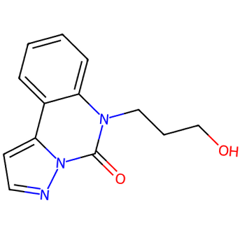 O=c1n(CCCO)c2ccccc2c2ccnn12